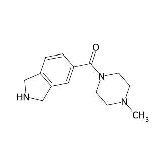 CN1CCN(C(=O)c2ccc3c(c2)CNC3)CC1